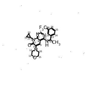 C[C@@H](Nc1ncnc2c1cc(N1CCOCC1)c(=O)n2C1CC1)c1cccc(C(F)(F)F)c1